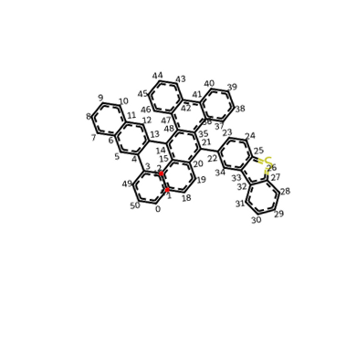 c1ccc(-c2cc3ccccc3cc2-c2c3ccccc3c(-c3ccc4sc5ccccc5c4c3)c3c4ccccc4c4ccccc4c23)cc1